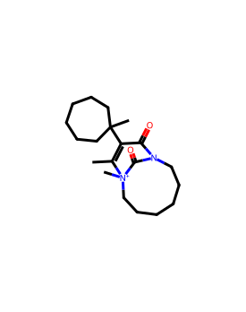 CC1=C(C2(C)CCCCCC2)C(=O)N2CCCCCC[N+]1(C)C2=O